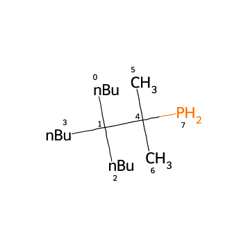 CCCCC(CCCC)(CCCC)C(C)(C)P